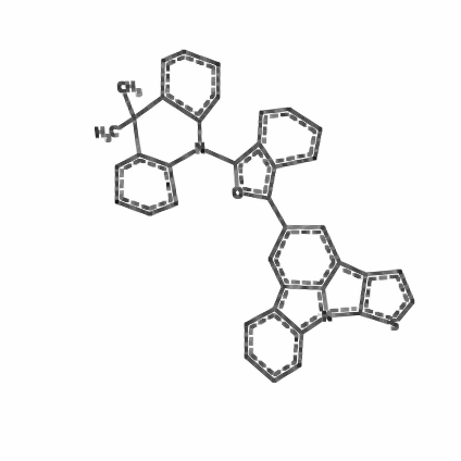 CC1(C)c2ccccc2N(c2oc(-c3cc4c5ccccc5n5c6sccc6c(c3)c45)c3ccccc23)c2ccccc21